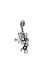 NC(=O)c1c(OCc2cc(F)c(Cl)cc2F)nsc1NC(=O)NCCCCN1CCOCC1